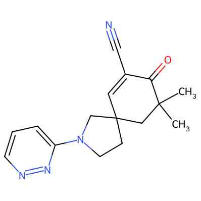 CC1(C)CC2(C=C(C#N)C1=O)CCN(c1cccnn1)C2